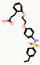 CCc1ccc(S(=O)(=O)Nc2ccc(OCCOc3ccccc3CCC(=O)O)cc2)cc1